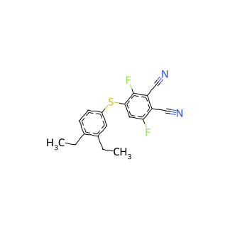 CCc1ccc(Sc2cc(F)c(C#N)c(C#N)c2F)cc1CC